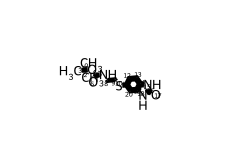 CC(C)(C)OC(=O)NCCSc1ccc2[nH]c(=O)[nH]c2c1